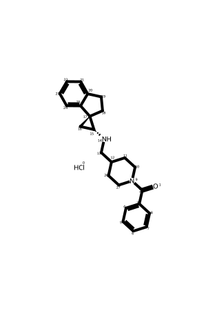 Cl.O=C(c1ccccc1)N1CCC(CN[C@@H]2C[C@@]23CCc2ccccc23)CC1